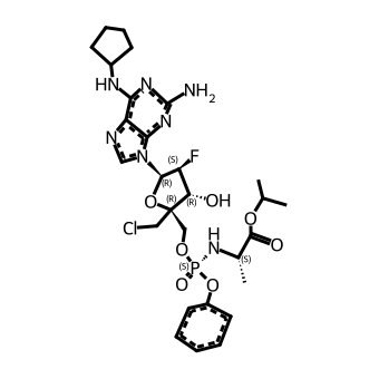 CC(C)OC(=O)[C@H](C)N[P@](=O)(OC[C@@]1(CCl)O[C@@H](n2cnc3c(NC4CCCC4)nc(N)nc32)[C@@H](F)[C@@H]1O)Oc1ccccc1